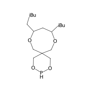 CCC(C)CC1CC(C(C)CC)OCC2(COPOC2)CO1